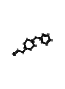 O=CCN1CCN(Cc2ccccc2)CC1